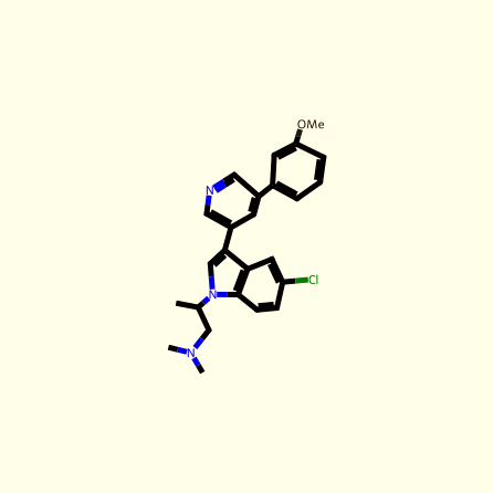 COc1cccc(-c2cncc(-c3cn(C(C)CN(C)C)c4ccc(Cl)cc34)c2)c1